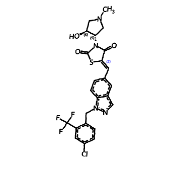 CN1C[C@H](O)[C@@H](N2C(=O)S/C(=C\c3ccc4c(cnn4Cc4ccc(Cl)cc4C(F)(F)F)c3)C2=O)C1